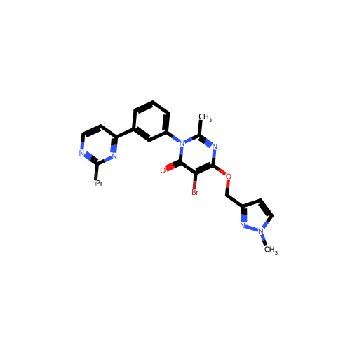 Cc1nc(OCc2ccn(C)n2)c(Br)c(=O)n1-c1cccc(-c2ccnc(C(C)C)n2)c1